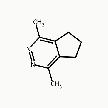 Cc1nnc(C)c2c1CCC2